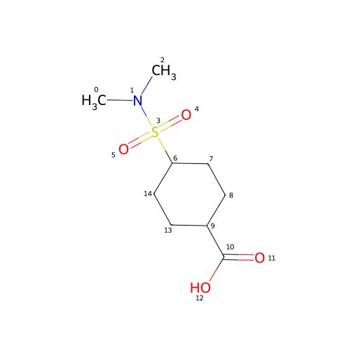 CN(C)S(=O)(=O)C1CCC(C(=O)O)CC1